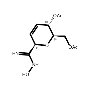 CC(=O)OC[C@H]1O[C@@H](C(=N)NO)C=C[C@@H]1OC(C)=O